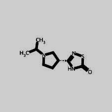 CC(C)N1CC[C@@H](c2nsc(=O)[nH]2)C1